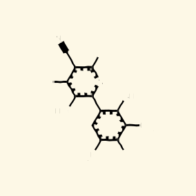 Bc1cc(-c2nc(O)c(C#N)c(O)c2B)c(B)c(B)c1O